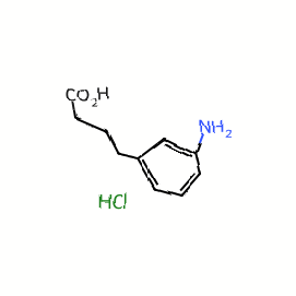 Cl.Nc1cccc(CCCC(=O)O)c1